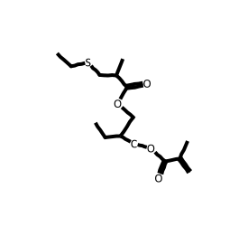 C=C(C)C(=O)OCC(CC)COC(=O)C(C)CSCC